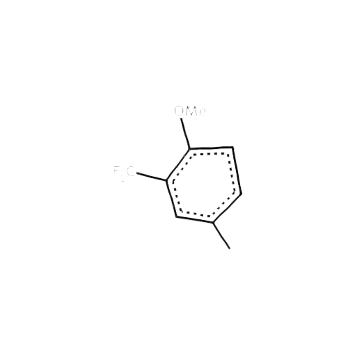 COc1ccc(C)cc1C(F)(F)F